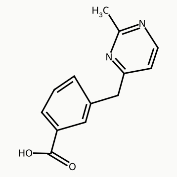 Cc1nccc(Cc2cccc(C(=O)O)c2)n1